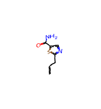 C=CCc1ncc(C(N)=O)s1